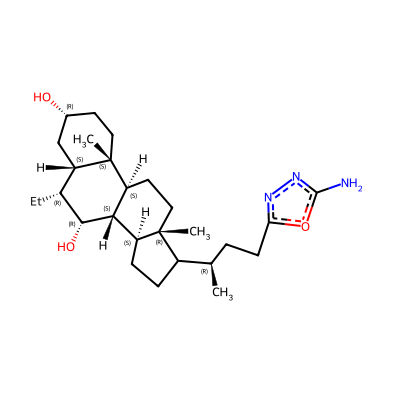 CC[C@H]1[C@@H](O)[C@@H]2[C@H](CC[C@]3(C)C([C@H](C)CCc4nnc(N)o4)CC[C@@H]23)[C@@]2(C)CC[C@@H](O)C[C@@H]12